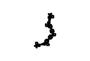 C=C(C)C(=O)OCCCOc1ccc(-c2ccc(C(=O)c3ccc(-c4ccc(OCCCOC(=O)C(=C)C)c(OC)c4)cc3)cc2)cc1OC